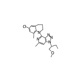 CCC(COC)n1nnc2c(N3CCCc4cc(Cl)cc(C)c43)nc(C)cc21